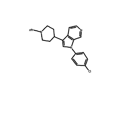 CCCN1CCC(c2cn(-c3ccc(Cl)cc3)c3cnccc23)CC1